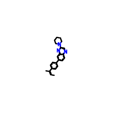 C/C=C(/C)c1ccc(-c2ccc3ncc(N4CCCCC4)nc3c2)cc1